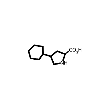 O=C(O)[C@@H]1CC(C2CCCCC2)CN1